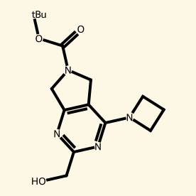 CC(C)(C)OC(=O)N1Cc2nc(CO)nc(N3CCC3)c2C1